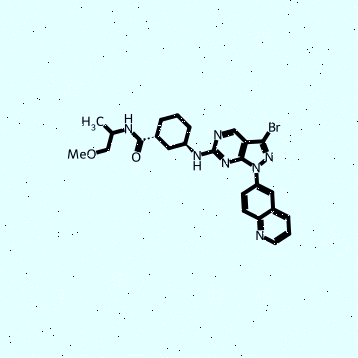 COCC(C)NC(=O)[C@@H]1CCC[C@@H](Nc2ncc3c(Br)nn(-c4ccc5ncccc5c4)c3n2)C1